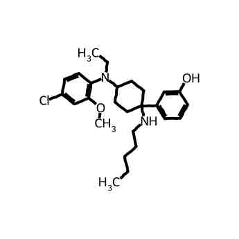 CCCCCNC1(c2cccc(O)c2)CCC(N(CC)c2ccc(Cl)cc2OC)CC1